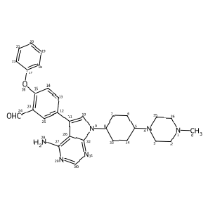 CN1CCN(C2CCC(n3cc(-c4ccc(Oc5ccccc5)c(C=O)c4)c4c(N)ncnc43)CC2)CC1